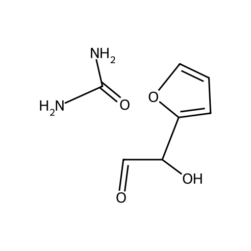 NC(N)=O.O=CC(O)c1ccco1